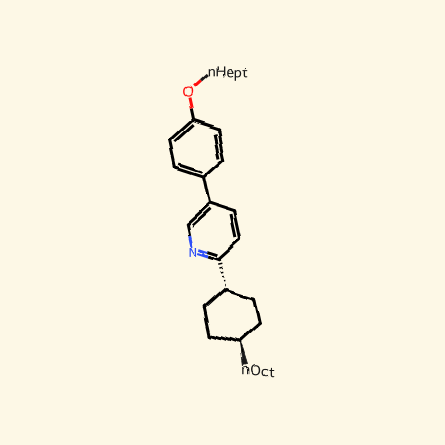 CCCCCCCC[C@H]1CC[C@H](c2ccc(-c3ccc(OCCCCCCC)cc3)cn2)CC1